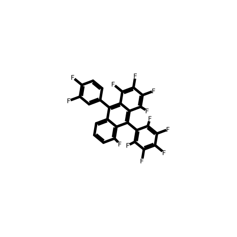 Fc1ccc(-c2c3cccc(F)c3c(-c3c(F)c(F)c(F)c(F)c3F)c3c(F)c(F)c(F)c(F)c23)cc1F